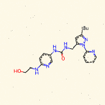 CC(C)(C)c1cc(CNC(=O)Nc2ccc(NCCO)nc2)n(-c2ccccn2)n1